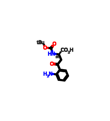 CC(C)(C)OC(=O)N[C@H](CC(=O)c1ccccc1N)C(=O)O